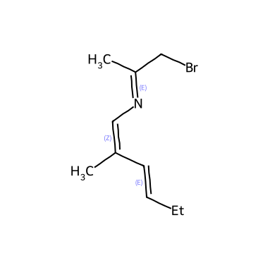 CC/C=C/C(C)=C\N=C(/C)CBr